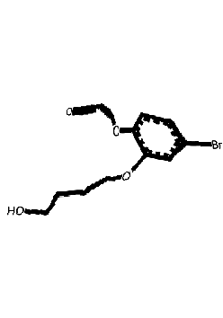 O=COc1ccc(Br)cc1OCCCCO